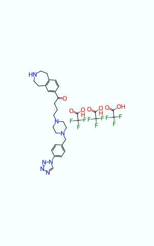 O=C(CCCN1CCN(Cc2ccc(-n3cnnn3)cc2)CC1)c1ccc2c(c1)CCNCC2.O=C(O)C(F)(F)F.O=C(O)C(F)(F)F.O=C(O)C(F)(F)F